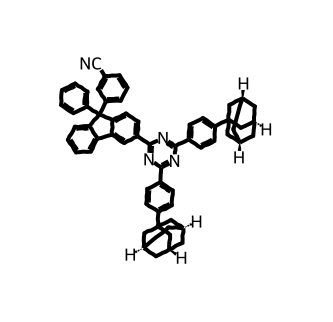 N#Cc1cccc(C2(c3ccccc3)c3ccccc3-c3cc(-c4nc(-c5ccc(C67C[C@H]8C[C@@H](C6)C[C@@H](C7)C8)cc5)nc(-c5ccc(C67C[C@H]8C[C@@H](C6)C[C@@H](C7)C8)cc5)n4)ccc32)c1